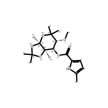 CO[C@@H]1[C@@H](OC(=O)c2ccc(C)[nH]2)[C@H]2OC(C)(C)O[C@H]2OC1(C)C